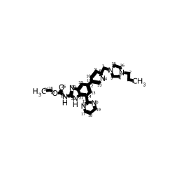 CCCN1CCN(Cc2ccc(-c3cc(-c4ncccn4)c4[nH]c(NC(=O)OCC)nc4c3)cn2)CC1